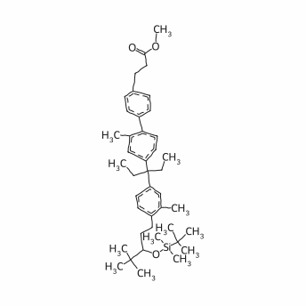 CCC(CC)(c1ccc(CCC(O[Si](C)(C)C(C)(C)C)C(C)(C)C)c(C)c1)c1ccc(-c2ccc(CCC(=O)OC)cc2)c(C)c1